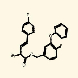 CC(C)C(C=Cc1ccc(F)cc1)C(=O)OCc1ccc(F)c(Oc2ccccc2)c1